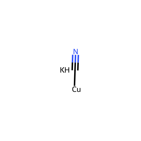 N#[C][Cu].[KH]